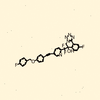 OC1(C(F)(F)c2ccc(C#Cc3ccc(OCc4ccc(F)cc4)cc3)cn2)Cn2nnnc2-c2cc(F)ccc21